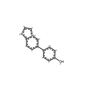 Oc1ccc(-c2ccc3nccn3c2)cc1